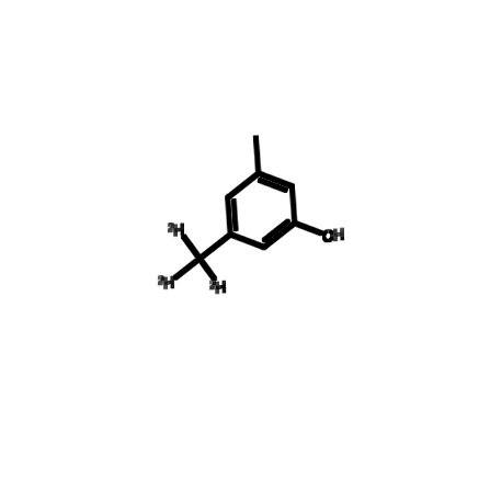 [2H]C([2H])([2H])c1cc(C)cc(O)c1